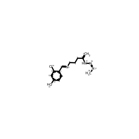 C=C(CCC/N=C/c1ccc(O)cc1Cl)N/N=N\C